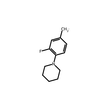 [CH2]c1ccc(N2CCCCC2)c(F)c1